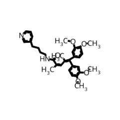 COc1ccc(C(=C(C)C=C(C)C(=O)NCCCCc2cccnc2)c2ccc(OC)c(OC)c2)cc1OC